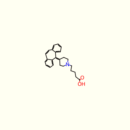 O=C(O)CCCCN1CCC(=C2c3ccccc3C=Cc3ccccc32)CC1